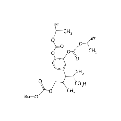 CCC(C)OC(=O)OCC(C)C(c1ccc(OC(=O)OC(C)C(C)C)c(OC(=O)OC(C)C(C)C)c1)[C@H](N)C(=O)O